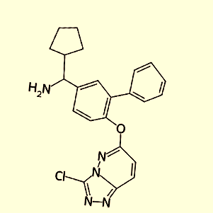 NC(c1ccc(Oc2ccc3nnc(Cl)n3n2)c(-c2ccccc2)c1)C1CCCC1